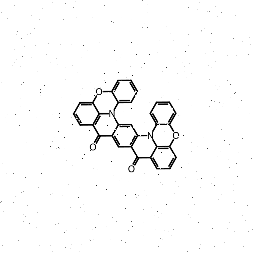 O=c1c2cc3c(=O)c4cccc5oc6ccccc6n(c3cc2n2c3ccccc3oc3cccc1c32)c54